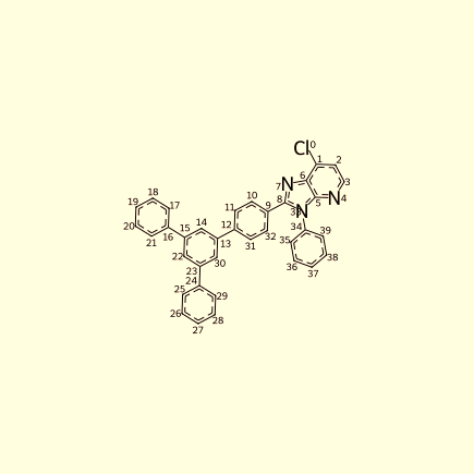 Clc1ccnc2c1nc(-c1ccc(-c3cc(-c4ccccc4)cc(-c4ccccc4)c3)cc1)n2-c1ccccc1